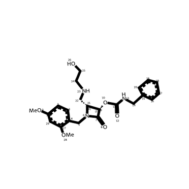 COc1ccc(CN2C(=O)[C@@H](OC(=O)NCc3ccccc3)[C@H]2CNCCO)c(OC)c1